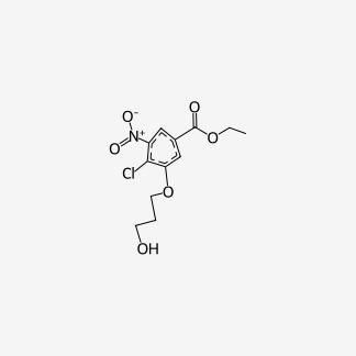 CCOC(=O)c1cc(OCCCO)c(Cl)c([N+](=O)[O-])c1